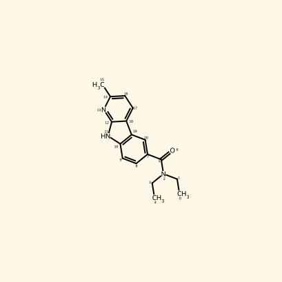 CCN(CC)C(=O)c1ccc2[nH]c3nc(C)ccc3c2c1